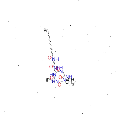 CC(C)CCCCCCC/C=C/C=C/C(=O)N/C=C/C(=O)NCC1NC(=O)C(CC(C)C)NC(=O)CN2C(=O)C(CNC1=O)NC2(C)C